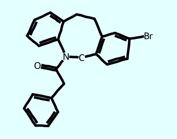 O=C(Cc1ccccc1)N1Cc2ccc(Br)cc2CCc2ccccc21